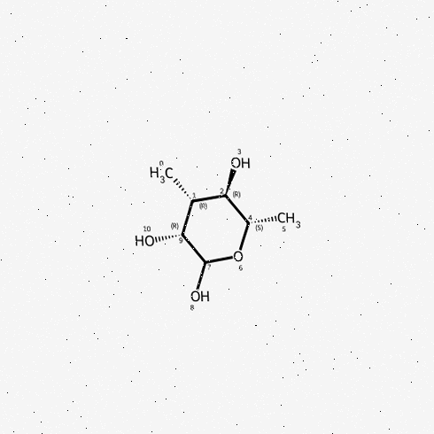 C[C@@H]1[C@@H](O)[C@H](C)OC(O)[C@@H]1O